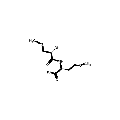 CSCC[C@H](NC(=O)[C@@H](O)CSC)C(=O)O